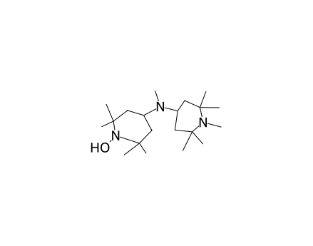 CN(C1CC(C)(C)N(C)C(C)(C)C1)C1CC(C)(C)N(O)C(C)(C)C1